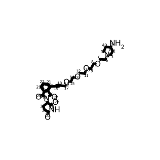 NC1CCN(CCOCCOCCOCCOCC#Cc2cccc3c2C(=O)N(C2CCC(=O)NC2=O)C3=O)CC1